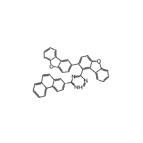 C=N/C(=N\C(=N)c1ccc2c(ccc3ccccc32)c1)c1c(-c2ccc3oc4ccccc4c3c2)ccc2oc3ccccc3c12